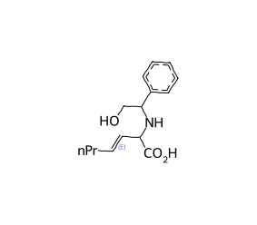 CCC/C=C/C(NC(CO)c1ccccc1)C(=O)O